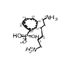 NCCCCCCN.O=P(O)(O)c1ccccc1